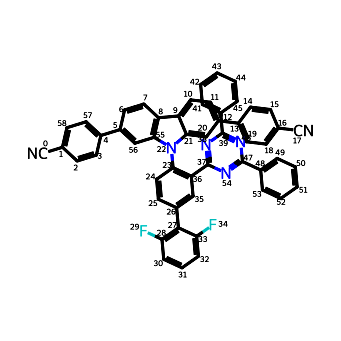 N#Cc1ccc(-c2ccc3c4ccc(-c5ccc(C#N)cc5)cc4n(-c4ccc(-c5c(F)cccc5F)cc4-c4nc(-c5ccccc5)nc(-c5ccccc5)n4)c3c2)cc1